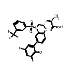 C[C@H](C[C@H]1CN(S(=O)(=O)c2cccc(C(F)(F)F)c2)c2cc(-c3cc(F)cc(F)c3Cl)ccc2O1)C(=O)O